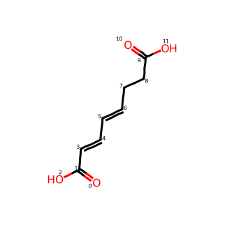 O=C(O)/C=C/C=C/CCC(=O)O